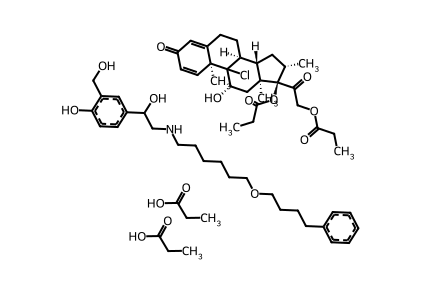 CCC(=O)O.CCC(=O)O.CCC(=O)OCC(=O)[C@@]1(OC(=O)CC)[C@@H](C)C[C@H]2[C@@H]3CCC4=CC(=O)C=C[C@]4(C)C3(Cl)[C@@H](O)C[C@@]21C.OCc1cc(C(O)CNCCCCCCOCCCCc2ccccc2)ccc1O